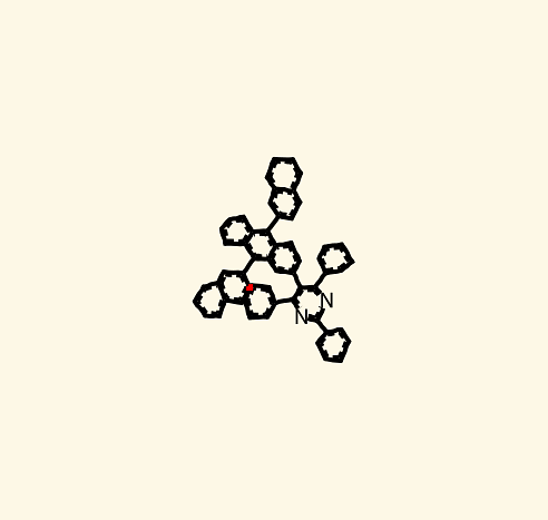 c1ccc(-c2nc(-c3ccccc3)c(-c3ccc4c(-c5ccc6ccccc6c5)c5ccccc5c(-c5ccc6ccccc6c5)c4c3)c(-c3ccccc3)n2)cc1